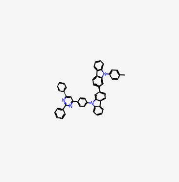 Cc1ccc(-n2c3ccccc3c3ccc(-c4ccc5c6ccccc6n(-c6ccc(-c7cc(-c8ccccc8)nc(-c8ccccc8)n7)cc6)c5c4)cc32)cc1